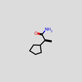 C=C(C(N)=O)C1CCCC1